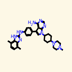 Cc1ccc(C)c2[nH]c(Nc3ccc(-c4cn(C5CCC(N6CCN(C)CC6)CC5)c5ncnc(N)c45)cc3)nc12